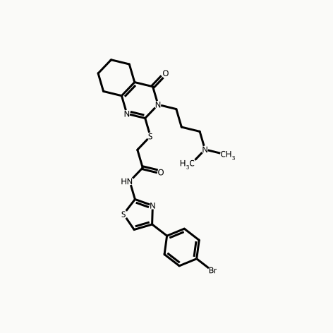 CN(C)CCCn1c(SCC(=O)Nc2nc(-c3ccc(Br)cc3)cs2)nc2c(c1=O)CCCC2